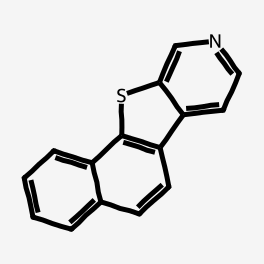 c1ccc2c(c1)ccc1c3ccncc3sc21